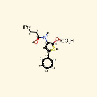 CC(C)CCC(=O)N(C)c1cc(-c2ccccc2)sc1OC(=O)O